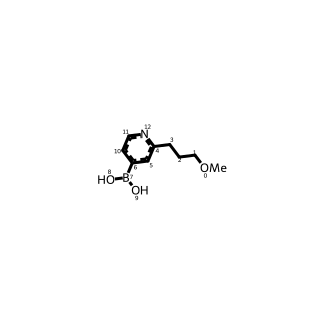 COCCCc1cc(B(O)O)ccn1